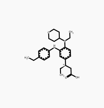 CCc1ccc(Nc2cc([C@H](CC)CC(=O)O)ccc2N(CC)C2CCOCC2)cc1